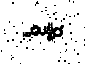 CC1CCC(C(C)C)C(O)(C(=O)NCc2cccc(O)c2)C1